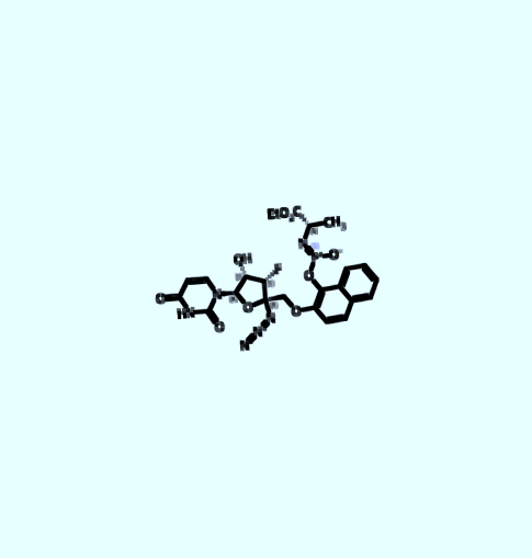 CCOC(=O)[C@H](C)/N=[P+](\[O-])Oc1c(OC[C@@]2(N=[N+]=[N-])O[C@@H](n3ccc(=O)[nH]c3=O)[C@H](O)[C@@H]2F)ccc2ccccc12